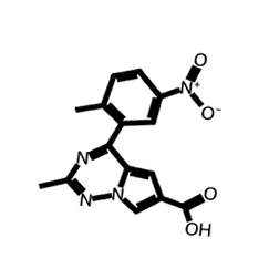 Cc1nc(-c2cc([N+](=O)[O-])ccc2C)c2cc(C(=O)O)cn2n1